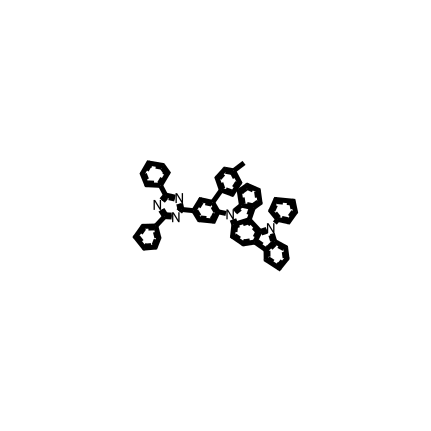 Cc1ccc(-c2cc(-c3nc(-c4ccccc4)nc(-c4ccccc4)n3)ccc2-n2c3ccccc3c3c2ccc2c4ccccc4n(-c4ccccc4)c23)cc1